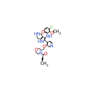 CC#CC(=O)N1CCOC[C@H]1COc1cnccc1-c1[nH]c2c(c1Nc1cccc(F)c1OC)C(=O)NCC2